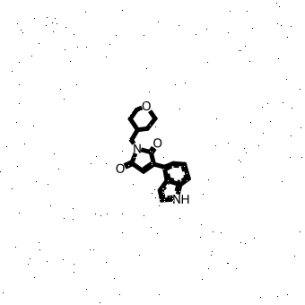 O=C1C=C(c2cccc3[nH]ccc23)C(=O)N1CC1CCOCC1